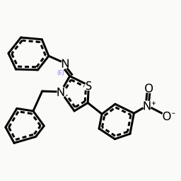 O=[N+]([O-])c1cccc(-c2cn(Cc3ccccc3)/c(=N\c3ccccc3)s2)c1